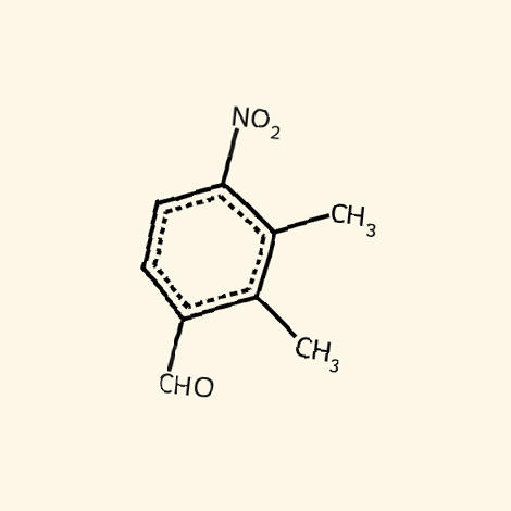 Cc1c(C=O)ccc([N+](=O)[O-])c1C